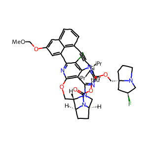 COCOc1cc(-c2nc3c4c(nc(OC[C@]56CCCN5C[C@@H](F)C6)nc4c2F)N2C[C@H]4CC[C@@H]([C@@H]2CO3)N4C(=O)OC(C)(C)C)c2c(C#C[Si](C(C)C)(C(C)C)C(C)C)cccc2c1